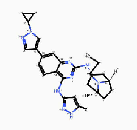 Cc1cc(Nc2nc(N[C@@H]3C[C@H]4CC[C@@H](C3)N4CCC#N)nc3cc(-c4cnn(C5CC5)c4)ccc23)n[nH]1